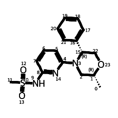 C[C@@H]1CN(c2cccc(NS(C)(=O)=O)n2)[C@H](c2ccccc2)CO1